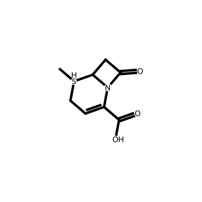 C[SH]1CC=C(C(=O)O)N2C(=O)CC21